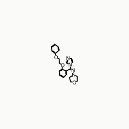 c1ccc(OCCOc2ccccc2/C(=N\N2CCOCC2)n2ccnc2)cc1